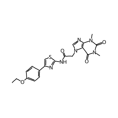 CCOc1ccc(-c2csc(NC(=O)Cn3cnc4c3c(=O)n(C)c(=O)n4C)n2)cc1